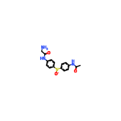 CC(=O)Nc1ccc([S+]([O-])c2ccc(NC(=O)CN)cc2)cc1